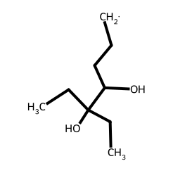 [CH2]CCC(O)C(O)(CC)CC